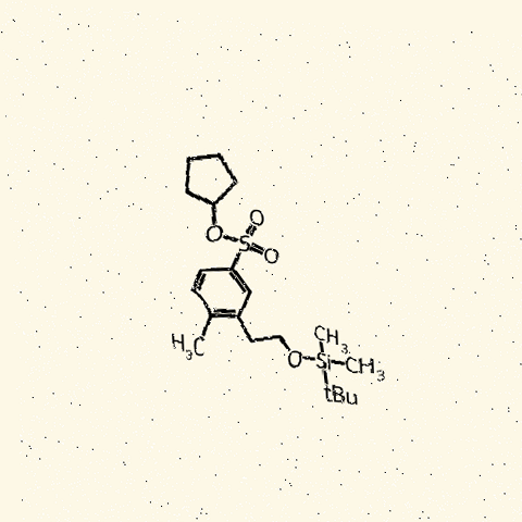 Cc1ccc(S(=O)(=O)OC2CCCC2)cc1CCO[Si](C)(C)C(C)(C)C